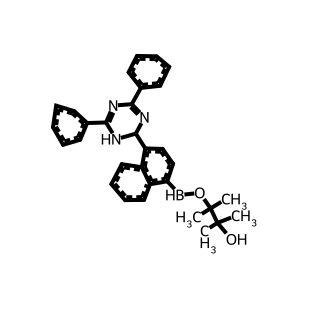 CC(C)(O)C(C)(C)OBc1ccc(C2N=C(c3ccccc3)N=C(c3ccccc3)N2)c2ccccc12